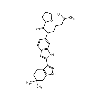 CN(C)CCCN(C(=O)C1CCCO1)c1ccc2cc(-c3n[nH]c4c3CCC(C)(C)C4)[nH]c2c1